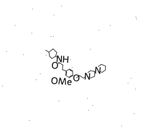 COc1cc(CCC(=O)NC2CCC(C)CC2)ccc1OCCN1CCC(N2CCCCC2)CC1